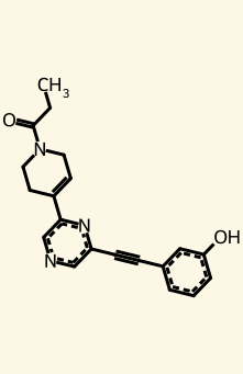 CCC(=O)N1CC=C(c2cncc(C#Cc3cccc(O)c3)n2)CC1